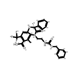 Cc1c(C(=O)O)c(C(F)(F)F)cc2c1N(CCNC(=O)OCc1ccccc1)C(=O)[C@](C)(c1ccccc1)O2